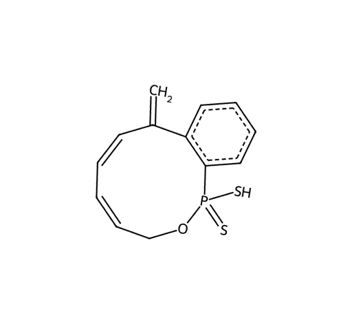 C=C1/C=C\C=C/COP(=S)(S)c2ccccc21